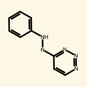 c1ccc(N[N]c2ccnnn2)cc1